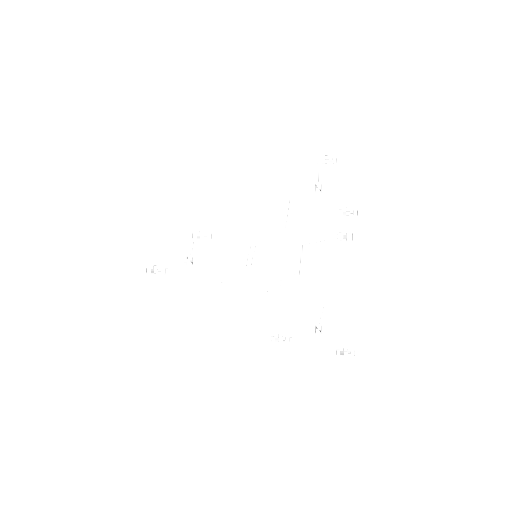 CCCCN(CCCC)Cc1cc(CN(CCCC)CCCC)c(O)c(CN(CCCC)CCCC)c1